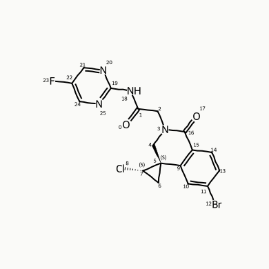 O=C(CN1C[C@]2(C[C@@H]2Cl)c2cc(Br)ccc2C1=O)Nc1ncc(F)cn1